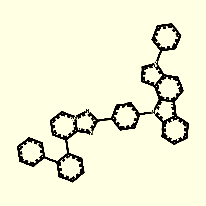 c1ccc(-c2ccccc2-c2cccn3nc(-c4ccc(-n5c6ccccc6c6ccc7c(ccn7-c7ccccc7)c65)cc4)nc23)cc1